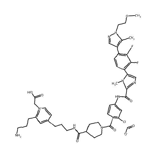 COCCn1ncc(-c2ccc(-c3cnc(C(=O)Nc4ccc(C(=O)N5CCC(C(=O)NCCCc6cc[n+](CC(=O)O)c(CCCN)c6)CC5)c(Cl)c4)n3C)c(F)c2F)c1C.O=C[O-]